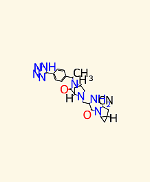 C[C@@H](c1ccc(-c2nnn[nH]2)cc1)N1C(=O)[C@@H]2C[C@H]1CN2C[C@H](N)C(=O)N1C2C[C@H]2C[C@H]1C#N